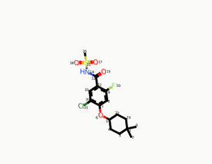 CC1(C)CCC(Oc2cc(F)c(C(=O)NS(C)(=O)=O)cc2Cl)CC1